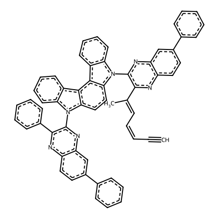 C#C/C=C\C=C(/C)c1nc2ccc(-c3ccccc3)cc2nc1-n1c2ccccc2c2c3c4ccccc4n(-c4nc5cc(-c6ccccc6)ccc5nc4-c4ccccc4)c3ccc21